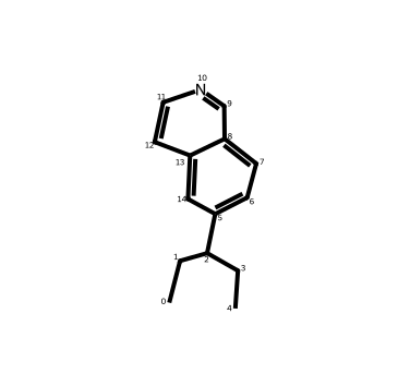 CCC(CC)c1ccc2cnccc2c1